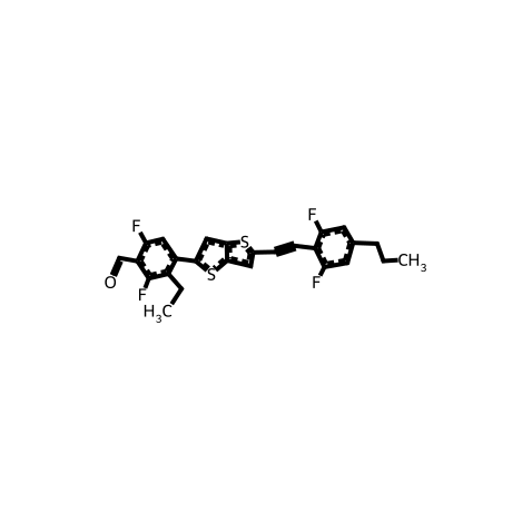 CCCc1cc(F)c(C#Cc2cc3sc(-c4cc(F)c(C=O)c(F)c4CC)cc3s2)c(F)c1